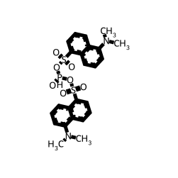 CN(C)c1cccc2c(S(=O)(=O)O[PH](=O)OS(=O)(=O)c3cccc4c(N(C)C)cccc34)cccc12